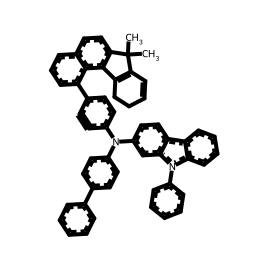 CC1(C)C2=C(CCC=C2)c2c1ccc1cccc(-c3c#cc(N(c4ccc(-c5ccccc5)cc4)c4ccc5c6ccccc6n(-c6ccccc6)c5c4)cc3)c21